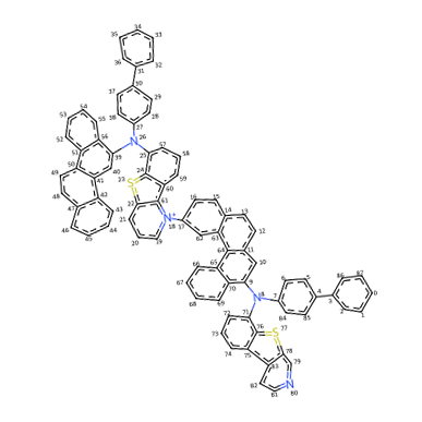 c1ccc(-c2ccc(N(c3cc4ccc5ccc(-[n+]6cccc7sc8c(N(c9ccc(-c%10ccccc%10)cc9)c9cc%10c%11ccccc%11ccc%10c%10ccccc9%10)cccc8c76)cc5c4c4ccccc34)c3cccc4c3sc3cnccc34)cc2)cc1